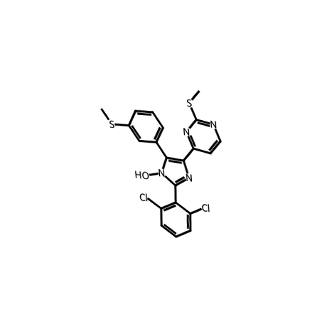 CSc1cccc(-c2c(-c3ccnc(SC)n3)nc(-c3c(Cl)cccc3Cl)n2O)c1